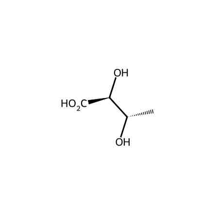 C[C@H](O)[C@H](O)C(=O)O